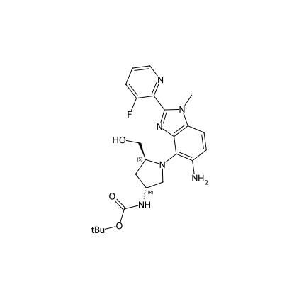 Cn1c(-c2ncccc2F)nc2c(N3C[C@H](NC(=O)OC(C)(C)C)C[C@H]3CO)c(N)ccc21